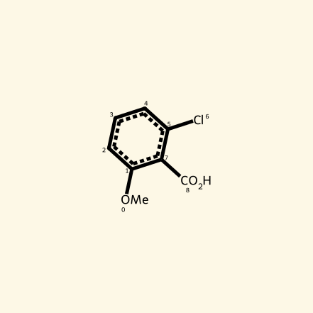 COc1cccc(Cl)c1C(=O)O